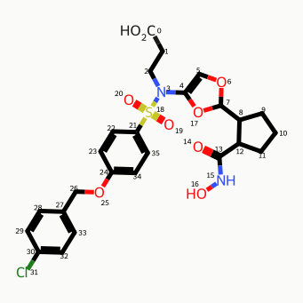 O=C(O)CCN(C1=COC(C2CCCC2C(=O)NO)O1)S(=O)(=O)c1ccc(OCc2ccc(Cl)cc2)cc1